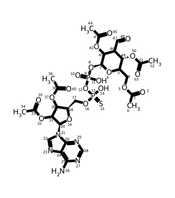 CC(=O)OCC1O[C@@H](OP(=O)(O)OP(O)(=S)OC[C@H]2O[C@@H](n3cnc4c(N)ncnc43)C(OC(C)=O)C2OC(C)=O)C(OC(C)=O)C(C=O)[C@@H]1OC(C)=O